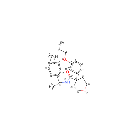 CC(C)CCOc1cccc(C2(C(=O)NC(C)c3ccc(C(=O)O)cc3)CCOCC2)c1